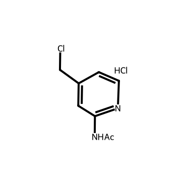 CC(=O)Nc1cc(CCl)ccn1.Cl